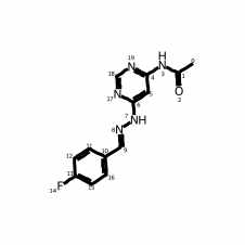 CC(=O)Nc1cc(NN=Cc2ccc(F)cc2)ncn1